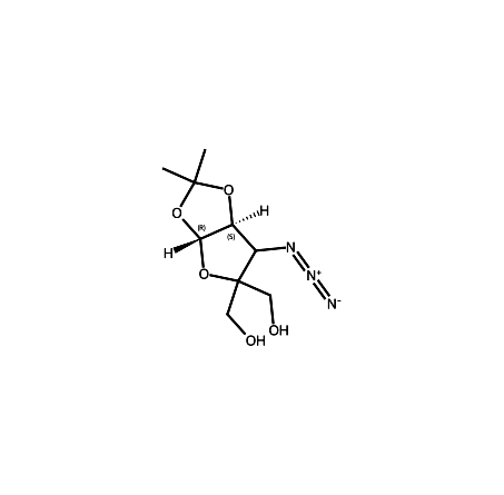 CC1(C)O[C@H]2OC(CO)(CO)C(N=[N+]=[N-])[C@@H]2O1